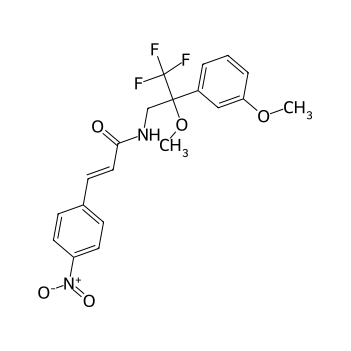 COc1cccc(C(CNC(=O)/C=C/c2ccc([N+](=O)[O-])cc2)(OC)C(F)(F)F)c1